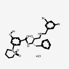 CC(C)Oc1cc(C(=O)N[C@@H](Cc2ccccc2)[C@H](O)CNCc2cc(Br)cc(Br)c2)cc(N2CCCCS2(=O)=O)c1.Cl